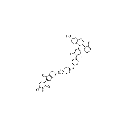 O=C1CCC(N2Cc3cc(N4CC5(CCN(CC6CCN(c7c(F)cc([C@H]8c9ccc(O)cc9OC[C@H]8c8ccccc8F)cc7F)CC6)CC5)C4)ccc3C2=O)C(=O)N1